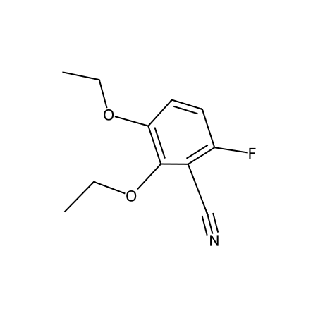 CCOc1ccc(F)c(C#N)c1OCC